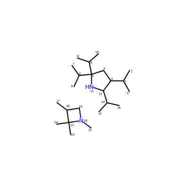 CC(C)C1CC(C(C)C)(C(C)C)NC1C(C)C.CC1CN(C)C1(C)C